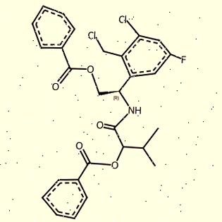 CC(C)C(OC(=O)c1ccccc1)C(=O)N[C@@H](COC(=O)c1ccccc1)c1cc(F)cc(Cl)c1CCl